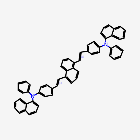 C(=C\c1cccc2c(/C=C/c3ccc(N(c4ccccc4)c4cccc5ccccc45)cc3)cccc12)/c1ccc(N(c2ccccc2)c2cccc3ccccc23)cc1